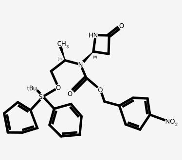 C[C@H](CO[Si](c1ccccc1)(c1ccccc1)C(C)(C)C)N(C(=O)OCc1ccc([N+](=O)[O-])cc1)[C@@H]1CC(=O)N1